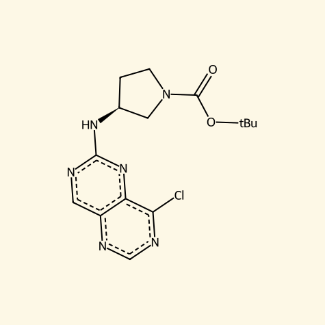 CC(C)(C)OC(=O)N1CC[C@H](Nc2ncc3ncnc(Cl)c3n2)C1